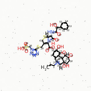 C=CCN1CC[C@]23c4c5ccc(O)c4O[C@H]2C(=O)CC[C@@]3(O)[C@H]1C5.O=C(O)C1=C(CSc2nnnn2CS(=O)(=O)O)CS[C@@H]2[C@H](NC(=O)[C@H](O)c3ccccc3)C(=O)N12